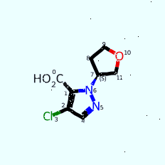 O=C(O)c1c(Cl)cnn1[C@H]1CCOC1